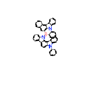 c1ccc(-n2c3ccccc3c3c4c(ccc32)c2ccccc2n4B2c3ccccc3-n3c4ccccc4c4c5ccccc5cc2c43)cc1